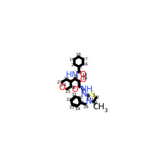 C[C@@H]1CS/C(=N\NC(=O)C(=O)[C@H](NC(=O)C2CCCCC2)C2CCOCC2)N1Cc1ccccc1